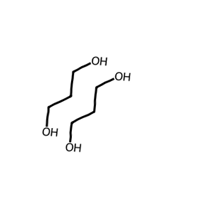 OCCCO.OCCCO